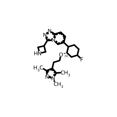 Cc1nn(C)c(C)c1CCO[C@H]1CC(F)CCC1c1ccc2nnc(C3CNC3)n2c1